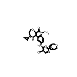 Cn1c(=O)c2c(c3cc(Nc4nc(N5C6CCC5COC6)ncc4Cl)ccc31)N[C@@H](C1CC1)CCO2